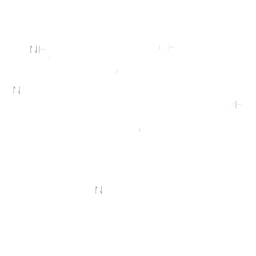 Cn1cc(C=C2Oc3cc(O)cc(O)c3C2=O)c2c(-c3ccc(N)nc3)cccc21